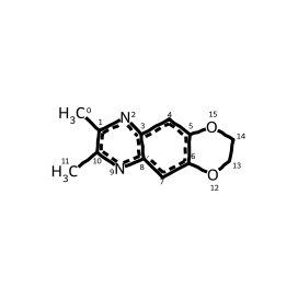 Cc1nc2cc3c(cc2nc1C)OCCO3